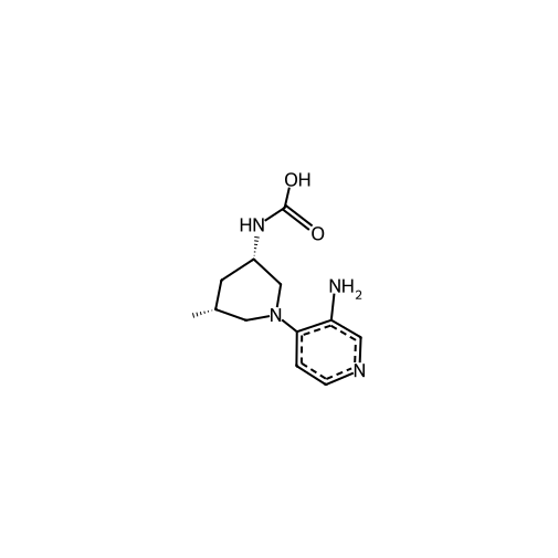 C[C@@H]1C[C@H](NC(=O)O)CN(c2ccncc2N)C1